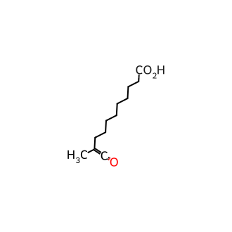 CC(=C=O)CCCCCCCCC(=O)O